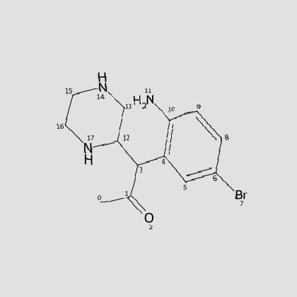 CC(=O)C(c1cc(Br)ccc1N)C1CNCCN1